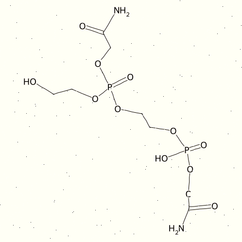 NC(=O)COP(=O)(O)OCCOP(=O)(OCCO)OCC(N)=O